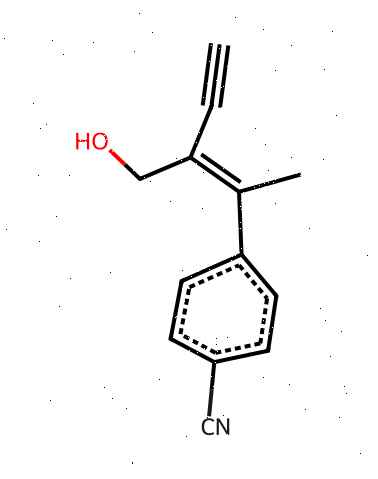 C#CC(CO)=C(C)c1ccc(C#N)cc1